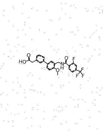 COc1ccc(-c2cccc(CC(=O)O)c2)cc1CNC(=O)c1ccc(C(F)(F)F)cc1F